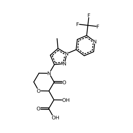 Cc1cc(N2CCOC(C(O)C(=O)O)C2=O)nn1-c1ccnc(C(F)(F)F)c1